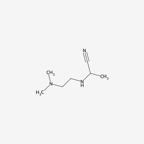 CC(C#N)NCCN(C)C